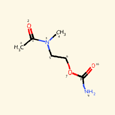 CC(=O)N(C)CCOC(N)=O